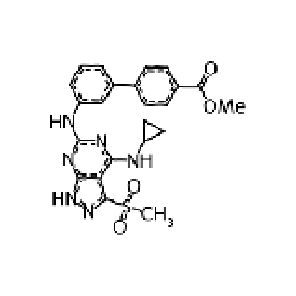 COC(=O)c1ccc(-c2cccc(Nc3nc(NC4CC4)c4c(S(C)(=O)=O)n[nH]c4n3)c2)cc1